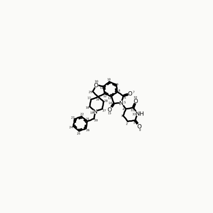 O=C1CCC(N2C(=O)c3ccc4c(c3C2=O)C2(CCN(Cc3ccccc3)CC2)CO4)C(=O)N1